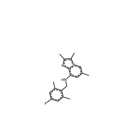 Cc1cc(NCc2c(C)cc(F)cc2C)c2nc(C)c(C)n2c1